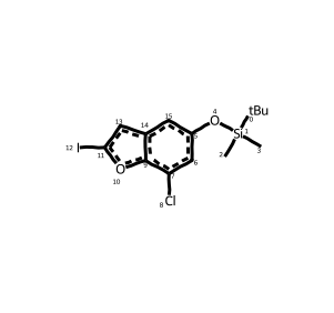 CC(C)(C)[Si](C)(C)Oc1cc(Cl)c2oc(I)cc2c1